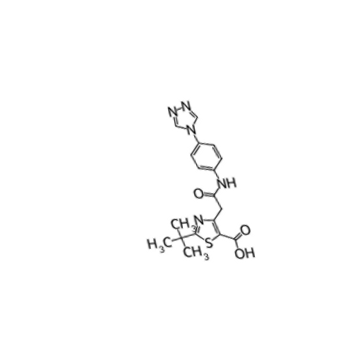 CC(C)(C)c1nc(CC(=O)Nc2ccc(-n3cnnc3)cc2)c(C(=O)O)s1